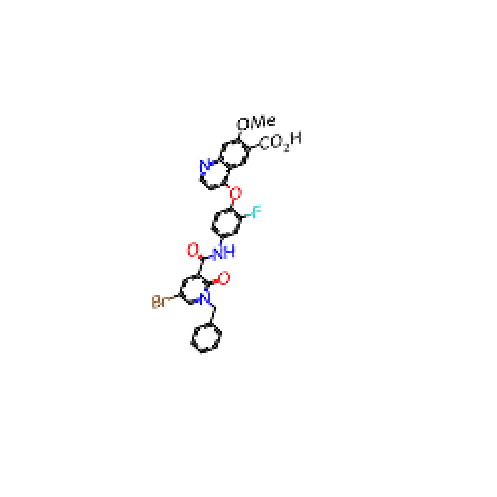 COc1cc2nccc(Oc3ccc(NC(=O)c4cc(Br)cn(Cc5ccccc5)c4=O)cc3F)c2cc1C(=O)O